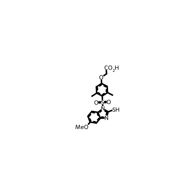 COc1ccc2c(c1)nc(S)n2S(=O)(=O)c1c(C)cc(OCC(=O)O)cc1C